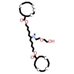 CN(CCOCCO)C(CCCCCOC(=O)C1CCCCCCCCCCCCC1)CCCCCOC(=O)C1CCCCCCCCCCCCC1